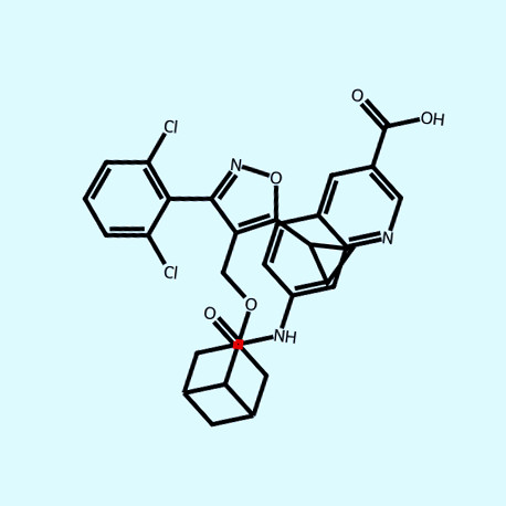 O=C(O)c1cnc2cc(NC(=O)C3C4CC(OCc5c(-c6c(Cl)cccc6Cl)noc5C5CC5)CC3C4)ccc2c1